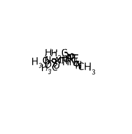 C=Cc1c(C#CCNc2ccc(C(=O)NC)cc2OC)nn2c(N[C@@H]3CCN(C)C[C@@H]3F)cccc12